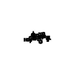 Cc1nc(CN2CCN([C@H](C(=O)N[C@@H](Cc3ccccc3)[C@H](O)CN(CC(C)C)S(=O)(=O)c3ccc(O)c(F)c3)C(C)C)C2=O)cs1